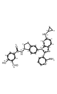 Nc1ncccc1-c1nc2ccc(NC3CC3)nc2n1-c1ccc2c(c1)CC[C@@H]2NC(=O)c1ccc(O)c(C=O)c1